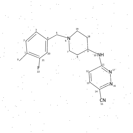 Cc1ccc(CN2CCC(Nc3ccc(C#N)nn3)CC2)cc1F